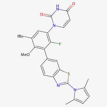 COc1c(C(C)(C)C)cc(-n2ccc(=O)[nH]c2=O)c(F)c1-c1ccc2nc(-n3c(C)ccc3C)sc2c1